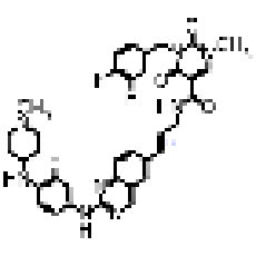 CN1CCC(Nc2ccc(Nc3ncc4cc(/C=C/CNC(=O)c5cn(C)c(=O)n(Cc6ccc(F)c(F)c6)c5=O)ccc4n3)cc2F)CC1